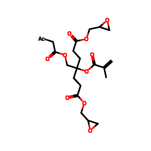 C=C(C)C(=O)OC(CCC(=O)OCC1CO1)(CCC(=O)OCC1CO1)COC(=O)CC(C)=O